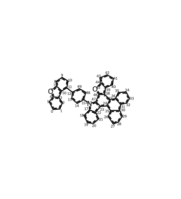 c1ccc2c(c1)oc1cccc(-c3ccc(-n4c5ccccc5c5c6c7ccccc7c7ccccc7c6c6c7ccccc7oc6c54)cc3)c12